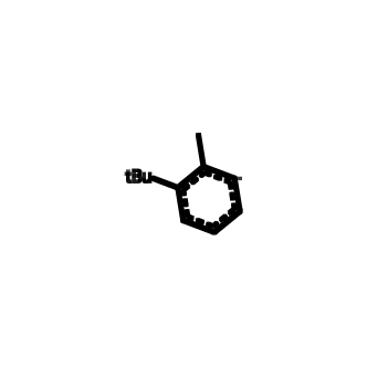 Cc1[c]cccc1C(C)(C)C